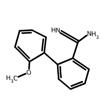 COc1ccccc1-c1ccccc1C(=N)N